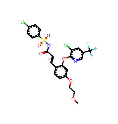 COCCOc1ccc(/C=C/C(=O)NS(=O)(=O)c2ccc(Cl)cc2)c(Oc2ncc(C(F)(F)F)cc2Cl)c1